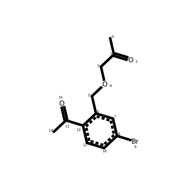 CC(=O)COCc1cc(Br)ccc1C(C)=O